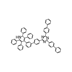 c1ccc(C2=C(c3ccccc3)C(c3cccc(-c4ccc(-c5nc(-c6ccc(-c7ccccc7)cc6)nc(-c6ccc(-c7ccccc7)cc6)n5)cc4)c3)=C(c3ccccc3)C(c3ccccc3)N2)cc1